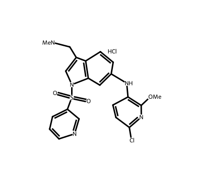 CNCc1cn(S(=O)(=O)c2cccnc2)c2cc(Nc3ccc(Cl)nc3OC)ccc12.Cl